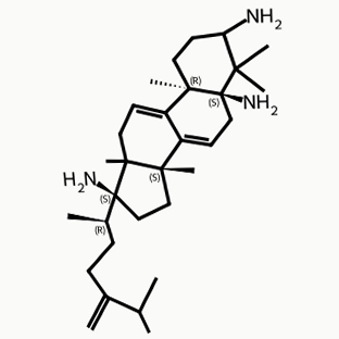 C=C(CC[C@@H](C)[C@@]1(N)CC[C@@]2(C)C3=CC[C@@]4(N)C(C)(C)C(N)CC[C@]4(C)C3=CCC21C)C(C)C